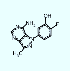 Cc1nn(-c2ccc(F)c(O)c2)c2c(N)ncnc12